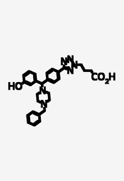 O=C(O)CCCn1nnc(-c2ccc(C(c3cccc(O)c3)N3CCN(Cc4ccccc4)CC3)cc2)n1